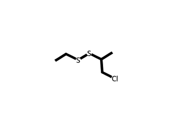 CCSSC(C)CCl